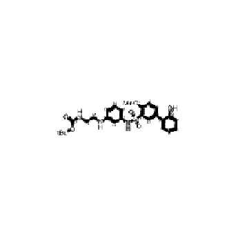 COc1ccc(-c2ccccc2O)cc1S(=O)(=O)Nc1cccc(NCCNC(=O)OC(C)(C)C)c1